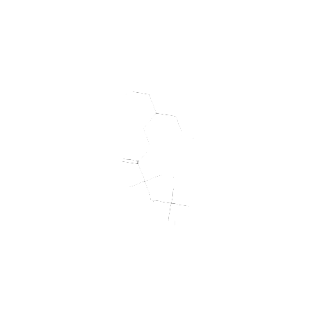 CCC(CC)COC(=O)C(C)(C)NC(C)(C)C